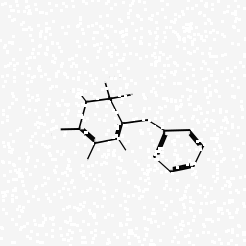 COC1(C)C(Cc2ccccc2)=C(C)C(C)=C(C)C1C